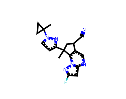 CC1(c2ccn(C3(C)CC3)n2)CC(C#N)c2cnc3cc(F)nn3c21